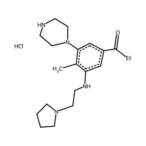 CCC(=O)c1cc(NCCN2CCCC2)c(C)c(N2CCNCC2)c1.Cl